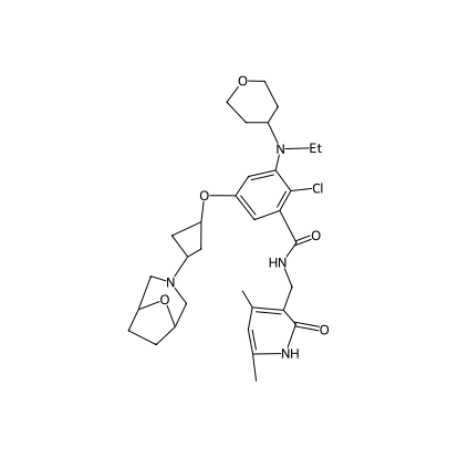 CCN(c1cc(OC2CC(N3CC4CCC(C3)O4)C2)cc(C(=O)NCc2c(C)cc(C)[nH]c2=O)c1Cl)C1CCOCC1